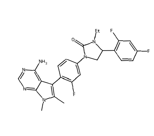 CCN1C(=O)N(c2ccc(-c3c(C)n(C)c4ncnc(N)c34)c(F)c2)CC1c1ccc(F)cc1F